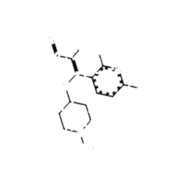 CCOC(=O)/C(C=N)=C(/NC1CCN(C)CC1)c1ccc(F)nc1F